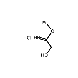 CCOC(=N)CO.Cl